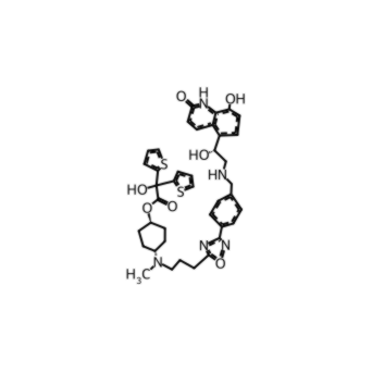 CN(CCCc1nc(-c2ccc(CNC[C@H](O)c3ccc(O)c4[nH]c(=O)ccc34)cc2)no1)[C@H]1CC[C@H](OC(=O)C(O)(c2cccs2)c2cccs2)CC1